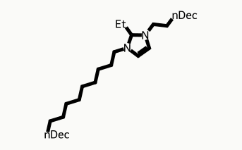 CCCCCCCCCCCCCCCCCCCN1C=CN(CCCCCCCCCCCC)C1CC